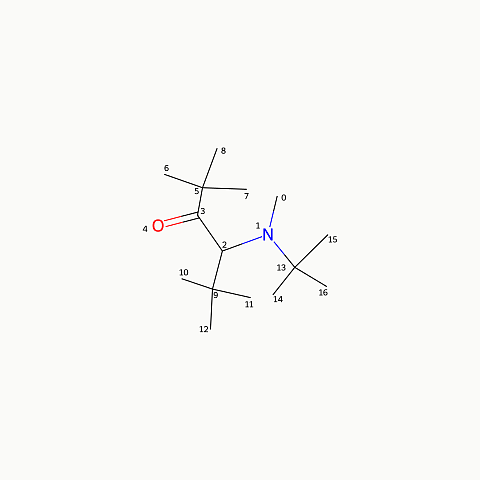 CN(C(C(=O)C(C)(C)C)C(C)(C)C)C(C)(C)C